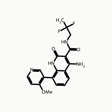 COc1ccncc1-c1cccc2c(N)c(C(=O)NCC(C)(F)F)c(=O)[nH]c12